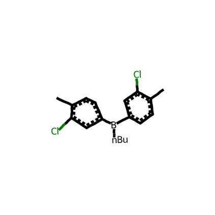 CCCCB(c1ccc(C)c(Cl)c1)c1ccc(C)c(Cl)c1